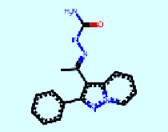 CC(=NNC(N)=O)c1c(-c2ccccc2)nn2ccccc12